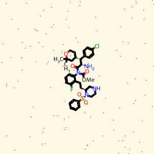 COC(=O)N(C(=O)[C@@H](N)[C@@H](c1ccc(Cl)cc1)C1CCOC(C)(C)C1)c1cccc(F)c1CC[C@H]1CNCCN1S(=O)(=O)c1ccccc1